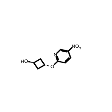 O=[N+]([O-])c1ccc(O[C@H]2C[C@H](O)C2)nc1